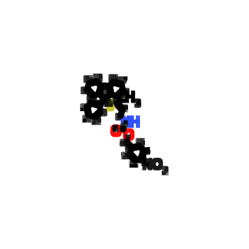 C/C(=C/CNC(=O)OCc1ccc([N+](=O)[O-])cc1)SC(c1ccccc1)(c1ccccc1)c1ccccc1